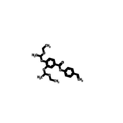 C=Cc1ccc(OC(=O)c2ccc(OC(C)OCC)c(OC(C)OCC)c2)cc1